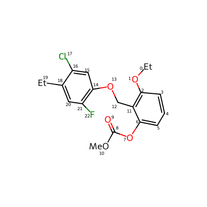 CCOc1cccc(OC(=O)OC)c1COc1cc(Cl)c(CC)cc1F